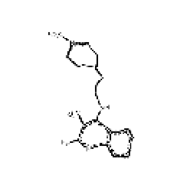 O=C(O)N1CCC(CCNc2c([N+](=O)[O-])c(C(F)(F)F)nc3ccccc23)CC1